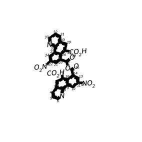 O=C(O)c1cc2cccnc2c2cc([N+](=O)[O-])cc(C(=O)OC(=O)c3cc([N+](=O)[O-])cc4c3c(C(=O)O)cc3cccnc34)c12